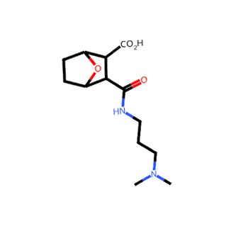 CN(C)CCCNC(=O)C1C2CCC(O2)C1C(=O)O